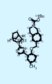 CCOC(=O)[C@H]1[C@@H]2CC[C@H]1CN(c1nc(-c3cc(C)ccc3OCc3ccc4c(c3)CCN(C(=O)OC(C)(C)C)C4)cs1)C2